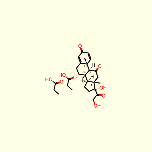 CCC(=O)O.CCC(=O)O.C[C@]12C=CC(=O)C=C1CC[C@@H]1[C@@H]2C(=O)C[C@@]2(C)[C@H]1CC[C@]2(O)C(=O)CO